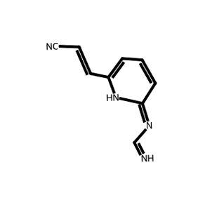 N#C/C=C/c1ccc/c(=N/C=N)[nH]1